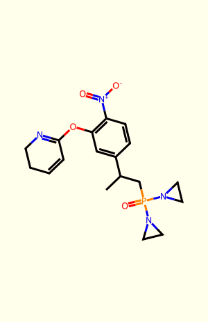 CC(CP(=O)(N1CC1)N1CC1)c1ccc([N+](=O)[O-])c(OC2=NCCC=C2)c1